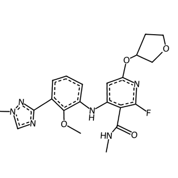 CNC(=O)c1c(Nc2cccc(-c3ncn(C)n3)c2OC)cc(OC2CCOC2)nc1F